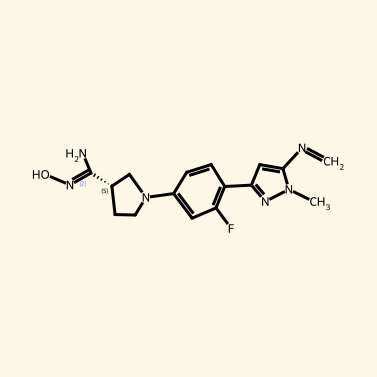 C=Nc1cc(-c2ccc(N3CC[C@H](/C(N)=N/O)C3)cc2F)nn1C